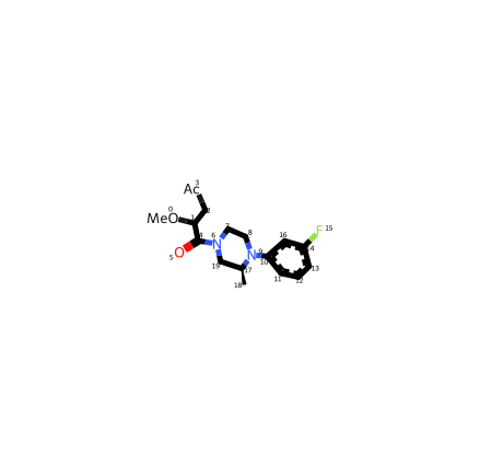 COC(CC(C)=O)C(=O)N1CCN(c2cccc(F)c2)[C@@H](C)C1